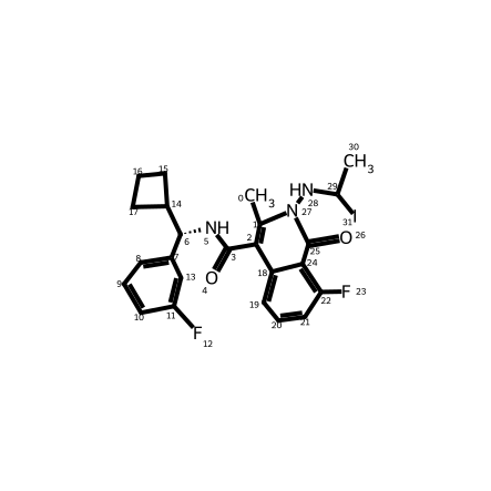 Cc1c(C(=O)N[C@H](c2cccc(F)c2)C2CCC2)c2cccc(F)c2c(=O)n1NC(C)I